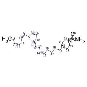 CC/C=C\C/C=C\C/C=C\C/C=C\C/C=C\CCCCN1CCN(C(N)=O)CC1